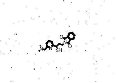 CN(C)Cc1cccc(C(S)CCN2C(=O)c3ccccc3C2=O)n1